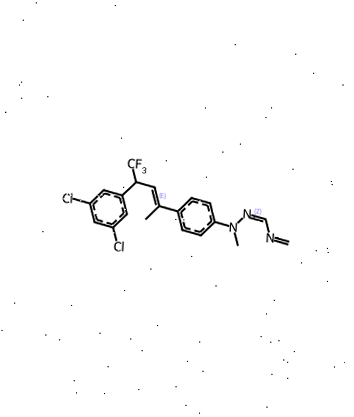 C=N/C=N\N(C)c1ccc(/C(C)=C/C(c2cc(Cl)cc(Cl)c2)C(F)(F)F)cc1